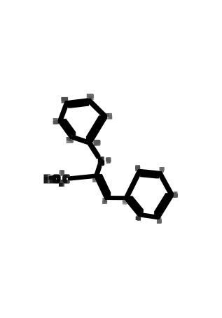 CCOC(=O)C(=Cc1ccccc1)Sc1ccccc1